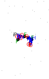 CC(C)n1cc(C(=O)Nc2ccc(Oc3ccnc(Nc4nc(N5CCN(S(C)(=O)=O)CC5)ccc4F)c3)c(F)c2)c(=O)n(-c2ccc(F)cc2)c1=O